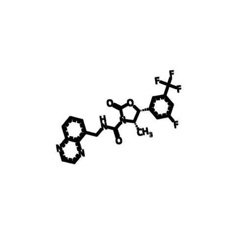 C[C@H]1[C@@H](c2cc(F)cc(C(F)(F)F)c2)OC(=O)N1C(=O)NCc1cccc2nccnc12